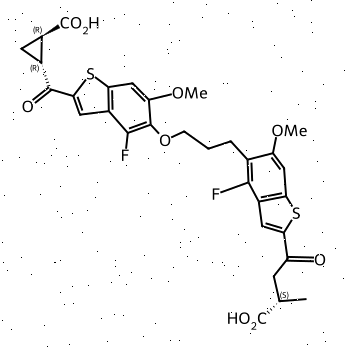 COc1cc2sc(C(=O)C[C@H](C)C(=O)O)cc2c(F)c1CCCOc1c(OC)cc2sc(C(=O)[C@@H]3C[C@H]3C(=O)O)cc2c1F